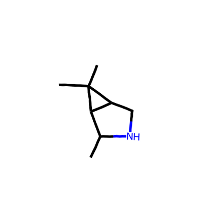 CC1NCC2C1C2(C)C